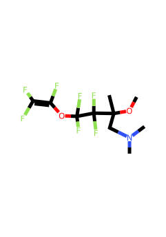 COC(C)(CN(C)C)C(F)(F)C(F)(F)OC(F)=C(F)F